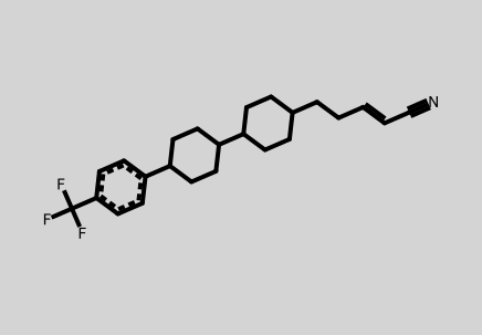 N#CC=CCCC1CCC(C2CCC(c3ccc(C(F)(F)F)cc3)CC2)CC1